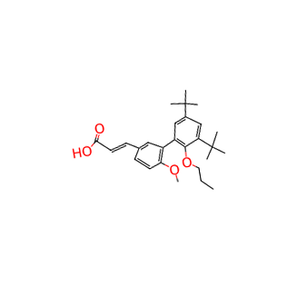 CCCOc1c(-c2cc(/C=C/C(=O)O)ccc2OC)cc(C(C)(C)C)cc1C(C)(C)C